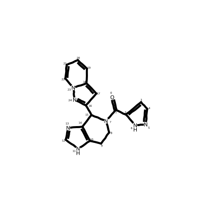 O=C(c1ccn[nH]1)N1CCc2[nH]cnc2C1c1cc2ccccn2n1